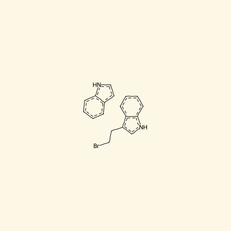 BrCCc1c[nH]c2ccccc12.c1ccc2[nH]ccc2c1